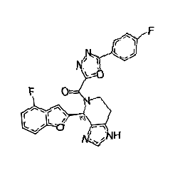 O=C(c1nnc(-c2ccc(F)cc2)o1)N1CCc2[nH]cnc2[C@H]1c1cc2c(F)cccc2o1